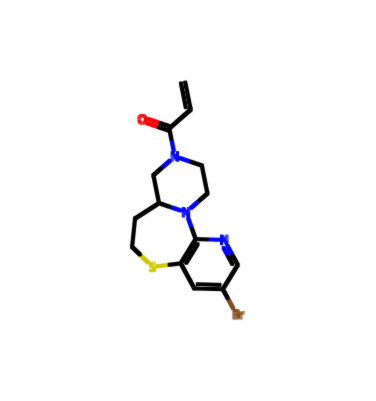 C=CC(=O)N1CCN2c3ncc(Br)cc3SCCC2C1